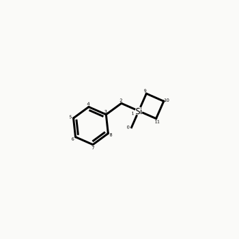 C[Si]1(Cc2ccccc2)CCC1